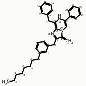 C=c1c(Cc2cccc(CCCCCCCN)c2)nc2n1C=C(c1ccccc1)NC=2Cc1ccccc1